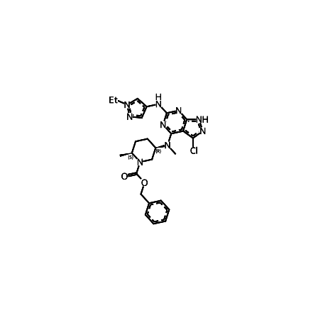 CCn1cc(Nc2nc(N(C)[C@@H]3CC[C@H](C)N(C(=O)OCc4ccccc4)C3)c3c(Cl)n[nH]c3n2)cn1